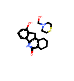 O=c1[nH]c2c(c3c1CCCC3)Cc1c(O)cccc1-2.OCN1CCSCC1